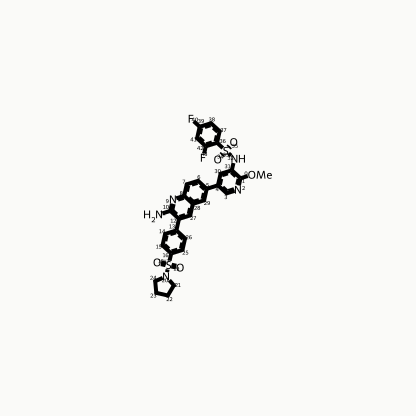 COc1ncc(-c2ccc3nc(N)c(-c4ccc(S(=O)(=O)N5CCCC5)cc4)cc3c2)cc1NS(=O)(=O)c1ccc(F)cc1F